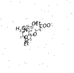 CCOCCOCCC(=O)[O-].CCOCC[N+]1(C)CCOCC1